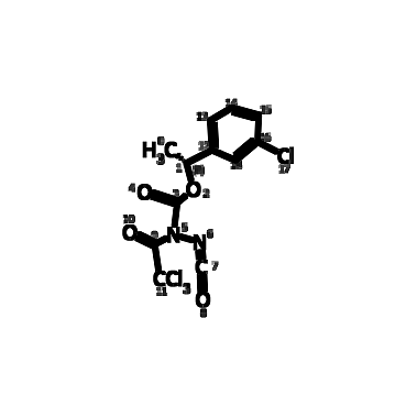 C[C@@H](OC(=O)N(N=C=O)C(=O)C(Cl)(Cl)Cl)c1cccc(Cl)c1